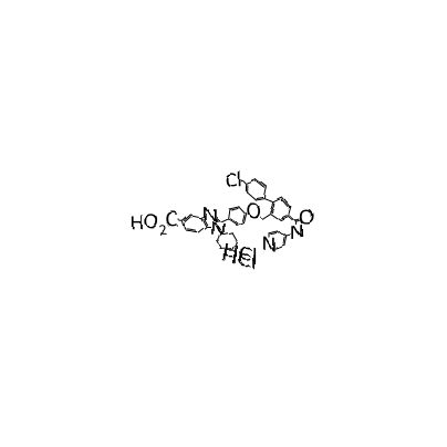 CN(C(=O)c1ccc(-c2ccc(Cl)cc2)c(COc2ccc(-c3nc4cc(C(=O)O)ccc4n3C3CCCCC3)cc2)c1)c1ccncc1.Cl.Cl